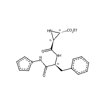 CCOC(=O)[C@H]1N[C@@H]1C(=O)N[C@@H](Cc1ccccc1)C(=O)Nn1cccc1